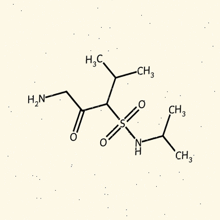 CC(C)NS(=O)(=O)C(C(=O)CN)C(C)C